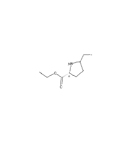 CCOC(=O)[C@H]1CCC(CC)N1